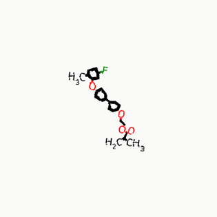 C=C(C)C(=O)OCCOc1ccc(-c2ccc(Oc3cc(F)ccc3C)cc2)cc1